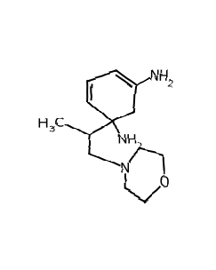 CC(CN1CCOCC1)C1(N)C=CC=C(N)C1